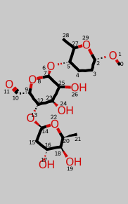 CO[C@@H]1CC[C@H](O[C@@H]2O[C@@H](C=O)[C@@H](O[C@@H]3C[C@@H](O)[C@H](O)[C@H](C)O3)[C@H](O)C2O)C(C)O1